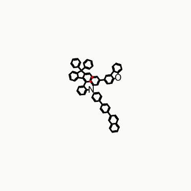 c1ccc(C2(c3ccccc3)c3ccccc3-c3c(-c4ccccc4N(c4ccc(-c5ccc(-c6ccc7ccccc7c6)cc5)cc4)c4cccc(-c5ccc6oc7ccccc7c6c5)c4)cccc32)cc1